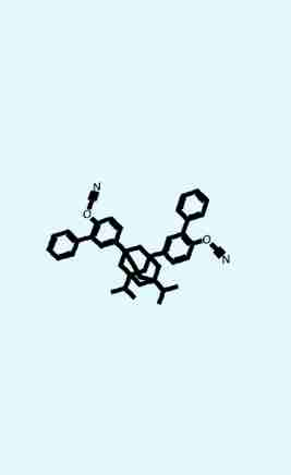 CC(C)C12CC3(c4ccc(OC#N)c(-c5ccccc5)c4)CC(c4ccc(OC#N)c(-c5ccccc5)c4)(C1)CC(C(C)C)(C3)C2